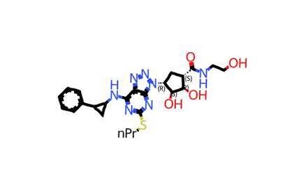 CCCSc1nc(NC2CC2c2ccccc2)c2nnn([C@@H]3C[C@H](C(=O)NCCO)[C@@H](O)[C@H]3O)c2n1